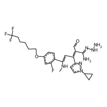 CN\C(=C/C(=C(C=O)/C(N)=N/NN)c1ccn(C2CC2)n1)c1ccc(OCCCCCC(F)(F)F)cc1F